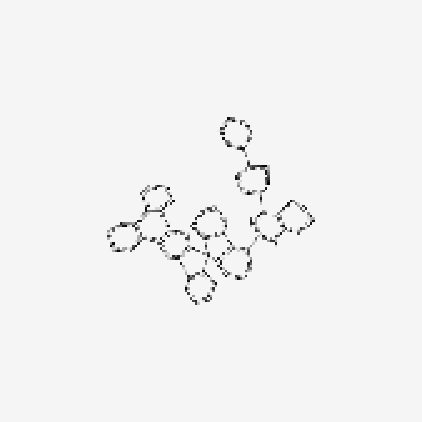 c1ccc(-c2ccc(-c3nc(-c4cccc5c4-c4ccccc4C54c5ccccc5-c5cc6c7ccccc7c7ccccc7c6cc54)nc4ccccc34)cc2)cc1